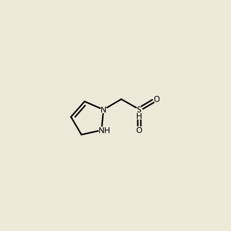 O=[SH](=O)CN1C=CCN1